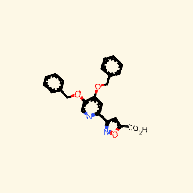 O=C(O)c1cc(-c2cc(OCc3ccccc3)c(OCc3ccccc3)cn2)no1